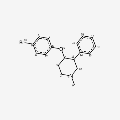 CN1CCC(Oc2ccc(Br)cc2)C(c2ccccc2)C1